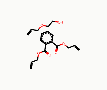 C=CCOC(=O)c1ccccc1C(=O)OCC=C.C=CCOCCO